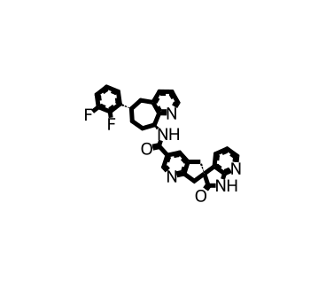 O=C(N[C@H]1CC[C@H](c2cccc(F)c2F)Cc2cccnc21)c1cnc2c(c1)C[C@@]1(C2)C(=O)Nc2ncccc21